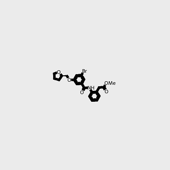 COC(=O)Cc1ccccc1NC(=O)c1cc(Br)cc(OC[C@H]2CCCO2)c1